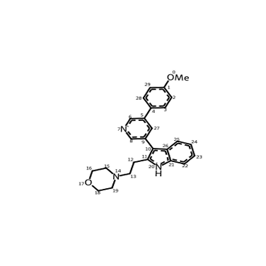 COc1ccc(-c2cncc(-c3c(CCN4CCOCC4)[nH]c4ccccc34)c2)cc1